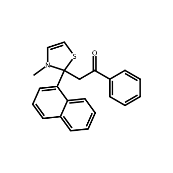 CN1C=CSC1(CC(=O)c1ccccc1)c1cccc2ccccc12